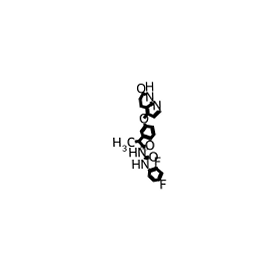 CC1c2cc(Oc3ccnc4c3CCC(=O)N4)ccc2O[C@H]1NC(=O)Nc1ccc(F)cc1F